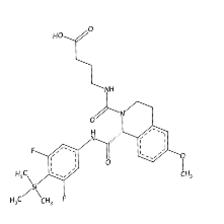 COc1ccc2c(c1)CCN(C(=O)NCCCC(=O)O)[C@H]2C(=O)Nc1cc(F)c([Si](C)(C)C)c(F)c1